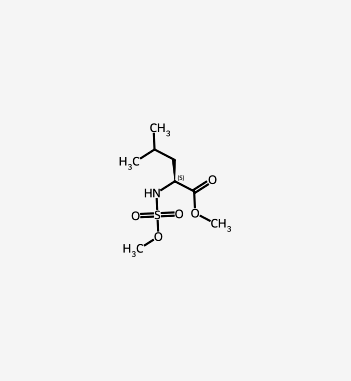 COC(=O)[C@H](CC(C)C)NS(=O)(=O)OC